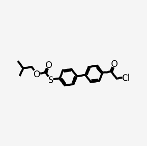 CC(C)COC(=O)Sc1ccc(-c2ccc(C(=O)CCl)cc2)cc1